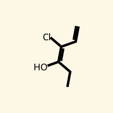 C=C/C(Cl)=C(/O)CC